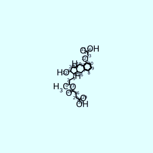 C[C@@H](CC[C@@H]1[C@H]2Cc3cccc(OCC(=O)O)c3C[C@H]2C[C@H]1O)OC(=O)CCC(=O)O